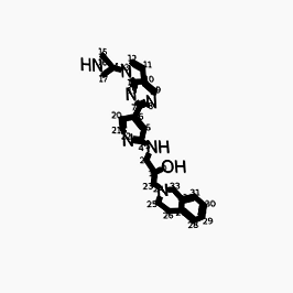 OC(CNc1cc(-c2ncc3ccn(C4CNC4)c3n2)ccn1)CN1CCc2ccccc2C1